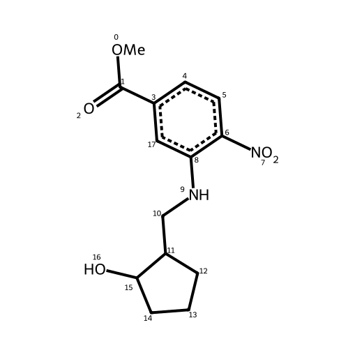 COC(=O)c1ccc([N+](=O)[O-])c(NCC2CCCC2O)c1